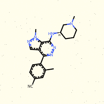 Cc1cc(C#N)ccc1-c1nnc(N[C@@H]2CCCN(C)C2)c2c1cnn2C